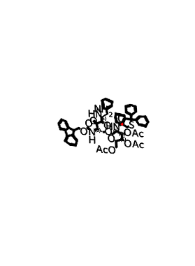 CC(=O)OCC1OC(OC[C@H](NC(=O)OCC2c3ccccc3-c3ccccc32)C(=O)C(=O)[C@H](Cc2ccccc2)NN)[C@@H](NC(=O)CSC(c2ccccc2)(c2ccccc2)c2ccccc2)[C@@H](OC(C)=O)[C@@H]1OC(C)=O